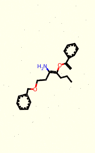 C=C(O/C(CCC)=C(\N)CCOCc1ccccc1)c1ccccc1